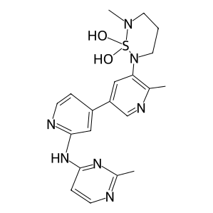 Cc1nccc(Nc2cc(-c3cnc(C)c(N4CCCN(C)S4(O)O)c3)ccn2)n1